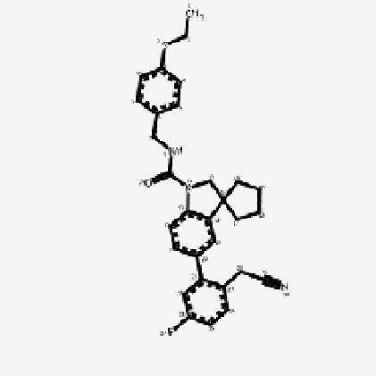 CCSc1ccc(CNC(=O)N2CC3(CCCC3)c3cc(-c4cc(F)ccc4CC#N)ccc32)cc1